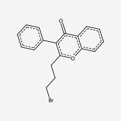 O=c1c(-c2ccccc2)c(CCCBr)oc2ccccc12